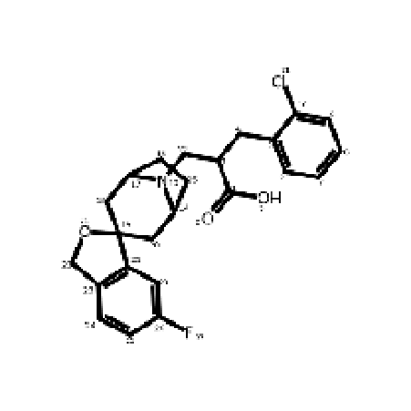 O=C(O)C(Cc1ccccc1Cl)CN1C2CCC1CC1(C2)OCc2ccc(F)cc21